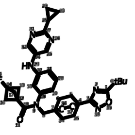 CC(C)(C)c1nc(C23CCC(CN(C(=O)C45CC(F)(C4)C5)c4cccc(Nc5cnc(C6CC6)nc5)c4)(CC2)CC3)no1